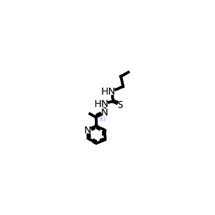 CCCNC(=S)N/N=C(\C)c1ccccn1